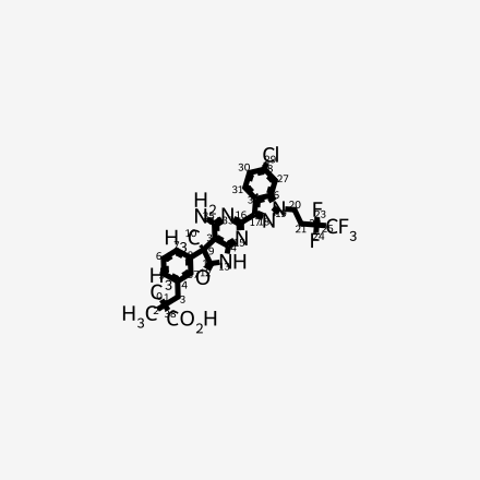 CC(C)(Cc1cccc([C@@]2(C)C(=O)Nc3nc(-c4nn(CCC(F)(F)C(F)(F)F)c5cc(Cl)ccc45)nc(N)c32)c1)C(=O)O